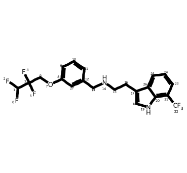 FC(F)C(F)(F)COc1cccc(CNCCc2c[nH]c3c(C(F)(F)F)cccc23)c1